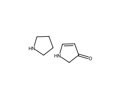 C1CCNC1.O=C1C=CNC1